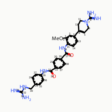 COc1cc(C2=CCN(C(=N)N)CC2)ccc1NC(=O)c1ccc(C(=O)Nc2ccc(CNC(=N)N)cc2)cc1